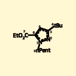 CCCCCn1nc(C(C)(C)C)cc1C(=O)OCC